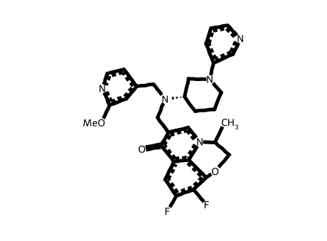 COc1cc(CN(Cc2cn3c4c(c(F)c(F)cc4c2=O)OCC3C)[C@H]2CCCN(c3cccnc3)C2)ccn1